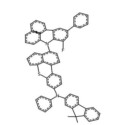 CC1(C)c2ccccc2-c2ccc(N(c3ccccc3)c3ccc4c(c3)Sc3cccc5c(N(c6ccccc6)c6c(F)cc(-c7ccccc7)cc6-c6ccccc6)ccc-4c35)cc21